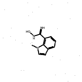 Cn1ccc2cccc(C(=N)NO)c21